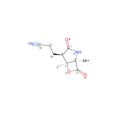 C[C@@]12OC(=O)[C@@H]1NC(=O)[C@@H]2CCC#N